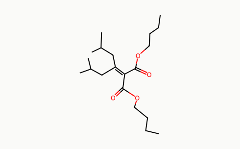 CCCCOC(=O)C(C(=O)OCCCC)=C(CC(C)C)CC(C)C